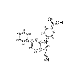 N#CC1=CN(c2ccc(C(=O)O)cc2)C2=CC(c3ccccc3)=CCC12